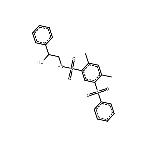 Cc1cc(C)c(S(=O)(=O)c2ccccc2)cc1S(=O)(=O)NCC(O)c1ccccc1